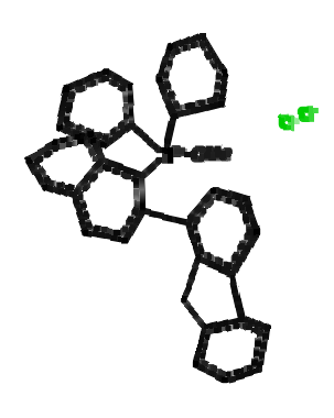 C[O][Ti+2]([c]1ccccc1)([c]1ccccc1)[c]1c(-c2cccc3c2Cc2ccccc2-3)ccc2ccccc12.[Cl-].[Cl-]